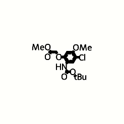 COC(=O)COc1cc(OC)c(Cl)cc1NC(=O)OC(C)(C)C